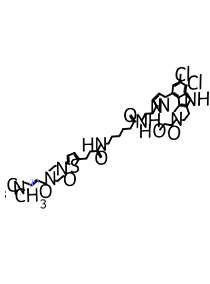 CN(C)C/C=C/C(=O)N1CCN(c2ccc(CCC(=O)NCCCCCC(=O)NCCn3ccc(-c4cc(Cl)c(Cl)c5[nH]c6c(c45)CN(C(=O)CO)CC6)n3)s2)C(=O)C1